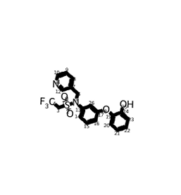 O=S(=O)(CC(F)(F)F)N(Cc1cccnc1)c1cccc(Oc2ccccc2O)c1